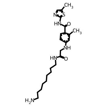 Cc1cnc(NC(=O)c2ccc(NCC(=O)NCCCCCCCCCN)cc2C)s1